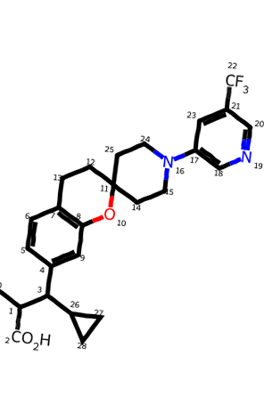 CC(C(=O)O)C(c1ccc2c(c1)OC1(CC2)CCN(c2cncc(C(F)(F)F)c2)CC1)C1CC1